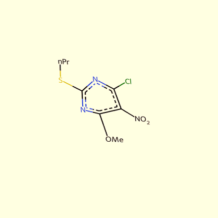 CCCSc1nc(Cl)c([N+](=O)[O-])c(OC)n1